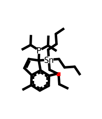 CCC[CH2][Sn]([CH2]CCC)([CH2]CCC)[C]1(P(C(C)C)C(C)C)C=Cc2c(C)ccc(C)c21